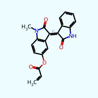 C=CC(=O)Oc1ccc2c(c1)/C(=C1\C(=O)Nc3ccccc31)C(=O)N2C